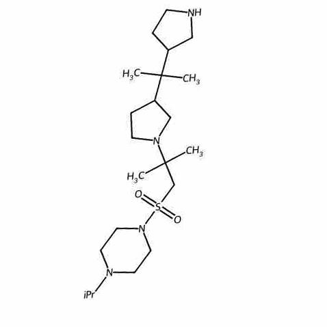 CC(C)N1CCN(S(=O)(=O)CC(C)(C)N2CCC(C(C)(C)C3CCNC3)C2)CC1